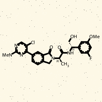 CNc1ncc(Cl)c(-c2ccc3c(c2)C(=O)N([C@H](C)C(=O)N[C@H](CO)c2cc(F)cc(OC)c2)C3)n1